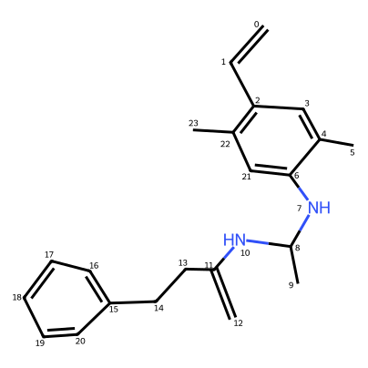 C=Cc1cc(C)c(NC(C)NC(=C)CCc2ccccc2)cc1C